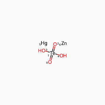 O=[Te](=O)(O)O.[Hg].[Zn]